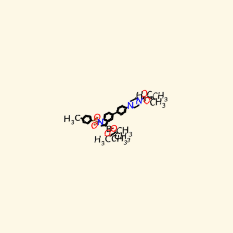 Cc1ccc(S(=O)(=O)n2cc(B3OC(C)(C)C(C)(C)O3)c3cc(-c4ccc(N5CCN(C(=O)OC(C)(C)C)CC5)cc4)ccc32)cc1